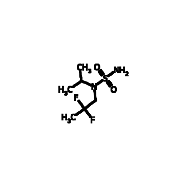 CC(C)N(CC(C)(F)F)S(N)(=O)=O